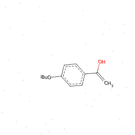 C=C(O)c1ccc(OCC(C)C)cc1